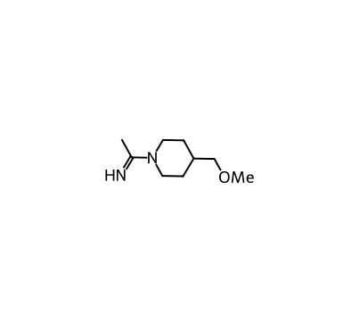 COCC1CCN(C(C)=N)CC1